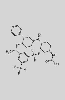 C[C@@H](OC1CCN(C(=O)[C@H]2CC[C@H](NC(=O)O)CC2)CC1c1ccccc1)c1cc(C(F)(F)F)cc(C(F)(F)F)c1